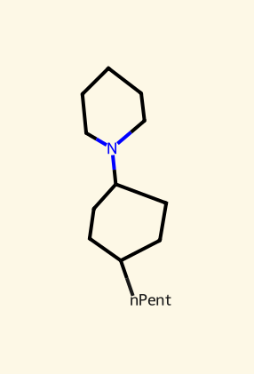 CCCCCC1CCC(N2CCCCC2)CC1